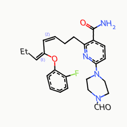 CC/C=C(\C=C/CCc1nc(N2CCN(C=O)CC2)ccc1C(N)=O)Oc1ccccc1F